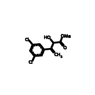 C=C(c1cc(Cl)cc(Cl)c1)C(O)C(=O)OC